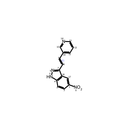 O=[N+]([O-])c1ccc2[nH]nc(/C=C/c3cccnc3)c2c1